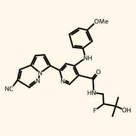 COc1cccc(Nc2cc(-c3ccc4cc(C#N)cnn34)ncc2C(=O)NCC(F)C(C)(C)O)c1